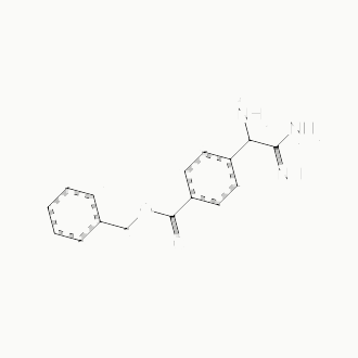 N=C(N)C(N)c1ccc(C(=O)OCc2ccccc2)cc1